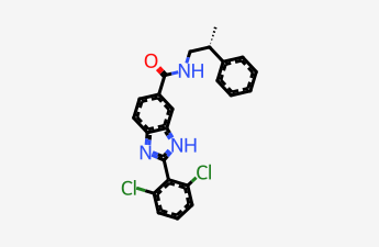 C[C@@H](CNC(=O)c1ccc2nc(-c3c(Cl)cccc3Cl)[nH]c2c1)c1ccccc1